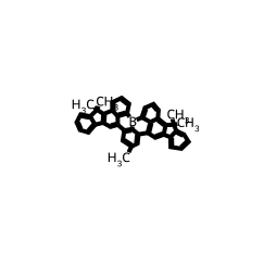 Cc1cc2c3c(c1)-c1cc4c(c5cccc(c15)B3c1cccc3c5c(cc-2c13)-c1ccccc1C5(C)C)C(C)(C)c1ccccc1-4